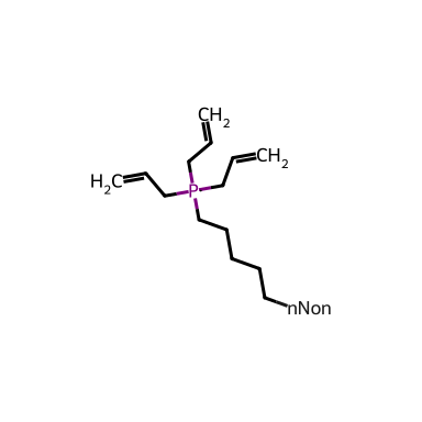 C=CC[P](CC=C)(CC=C)CCCCCCCCCCCCCC